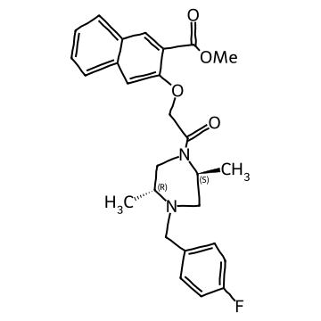 COC(=O)c1cc2ccccc2cc1OCC(=O)N1C[C@@H](C)N(Cc2ccc(F)cc2)C[C@@H]1C